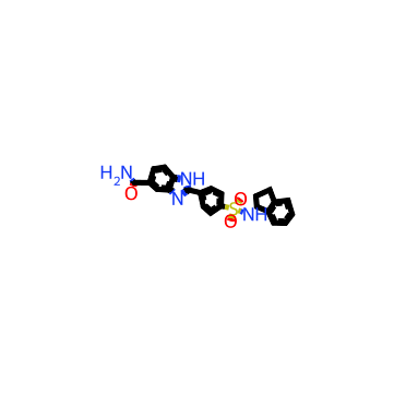 NC(=O)c1ccc2[nH]c(-c3ccc(S(=O)(=O)N[C@H]4CCc5ccccc54)cc3)nc2c1